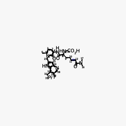 Cc1ccc(NC(=O)[C@H](CC/C=C/C(=O)N(C)C)NC(=O)O)c(=O)n1Cc1cc2ncc(F)c(CC(C)C)c2[nH]1